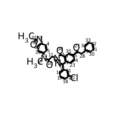 Cc1nc2ccc(N(C)C(=O)Cn3nc(-c4cccc(Cl)c4)c4ccc(C(=O)Cc5ccccc5)cc4c3=O)cc2o1